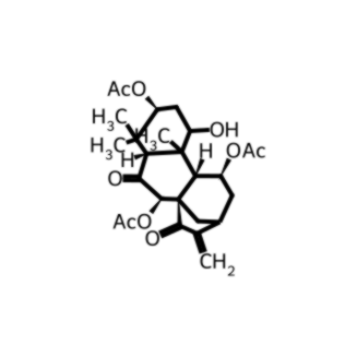 C=C1C(=O)[C@]23CC1C[C@H](OC(C)=O)[C@H]2C1(C)C(O)C[C@H](OC(C)=O)C(C)(C)[C@H]1C(=O)[C@@H]3OC(C)=O